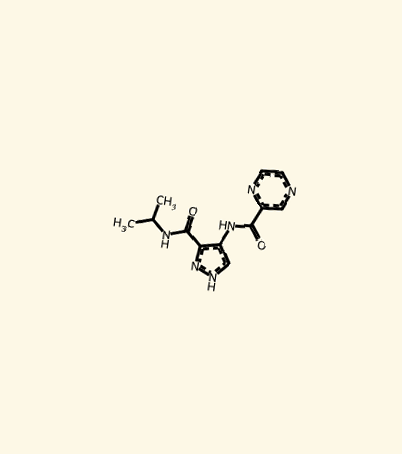 CC(C)NC(=O)c1n[nH]cc1NC(=O)c1cnccn1